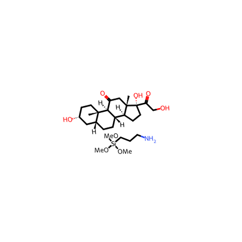 CO[Si](CCCN)(OC)OC.C[C@]12CC[C@@H](O)C[C@H]1CC[C@@H]1[C@@H]2C(=O)C[C@@]2(C)[C@H]1CC[C@]2(O)C(=O)CO